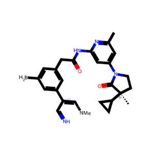 Bc1cc(CC(=O)Nc2cc(N3CC[C@@](C)(C4CC4)C3=O)cc(C)n2)cc(/C(C=N)=C/NC)c1